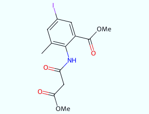 COC(=O)CC(=O)Nc1c(C)cc(I)cc1C(=O)OC